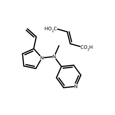 C=Cc1cccn1N(C)c1ccncc1.O=C(O)C=CC(=O)O